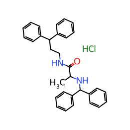 CC(NC(c1ccccc1)c1ccccc1)C(=O)NCCC(c1ccccc1)c1ccccc1.Cl